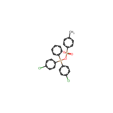 Cc1ccc(S(=O)(=O)OS(c2ccccc2)(c2ccc(Cl)cc2)c2ccc(Cl)cc2)cc1